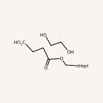 CCCCCCCCOC(=O)CCC(=O)O.OCCO